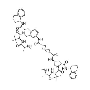 CN[C@@H](C)C(=O)N[C@H](C(=O)N1Cc2cc(NC(=O)C3CC4(C3)CC(C(=O)N[C@H]3C[C@@H](C(=O)N[C@@H]5CCCc6ccccc65)N(C(=O)[C@@H](NC(=O)[C@H](C)NC)C(C)(C)C)C3)C4)ccc2C[C@H]1C(=O)N[C@@H]1CCCc2ccccc21)C(C)(C)C